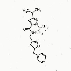 CC(C)c1cc(C(=O)NCC2=NOC(Cc3ccccc3)C2)n(C(C)C)n1